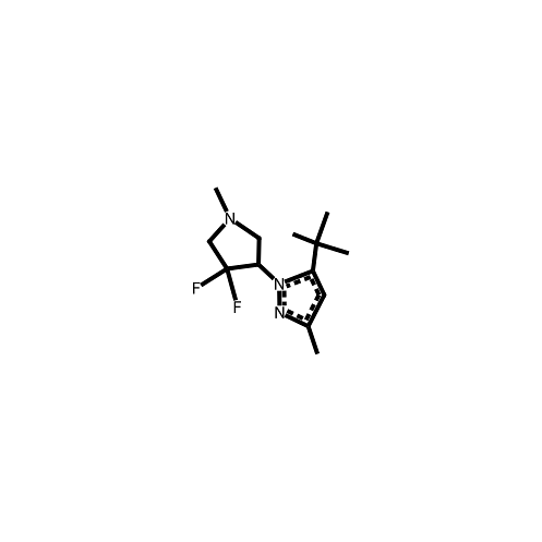 Cc1cc(C(C)(C)C)n(C2CN(C)CC2(F)F)n1